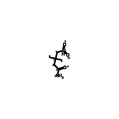 CC(C)(CC(N)=O)C[SH](=O)=O